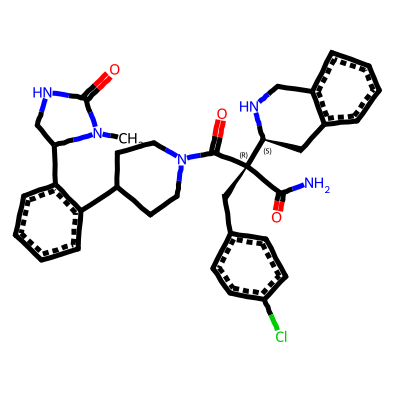 CN1C(=O)NCC1c1ccccc1C1CCN(C(=O)[C@@](Cc2ccc(Cl)cc2)(C(N)=O)[C@@H]2Cc3ccccc3CN2)CC1